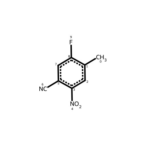 Cc1cc([N+](=O)[O-])c(C#N)cc1F